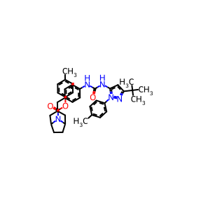 Cc1ccc(OC(=O)N2C3CCC2CC(Cc2ccc(NC(=O)Nc4cc(C(C)(C)C)nn4-c4ccc(C)cc4)cc2)C3)cc1